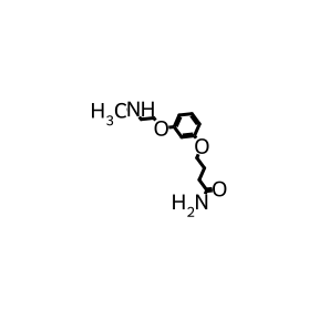 CNCCOc1cccc(OCCCC(N)=O)c1